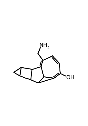 NCC1=C2C3C(=C(O)C=C1)C3C1C3CC3C21